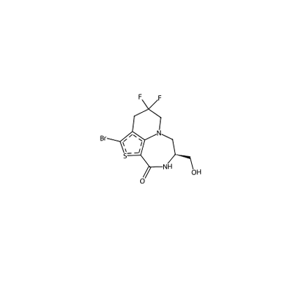 O=C1N[C@H](CO)CN2CC(F)(F)Cc3c(Br)sc1c32